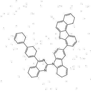 C1=CCCC(C2=CC=C(c3nc(-n4c5c(c6cc(-c7cccc8c7sc7ccc9c(c78)CCC=C9)ccc64)C=CCC5)nc4c3=CCCC=4)CC2)=C1